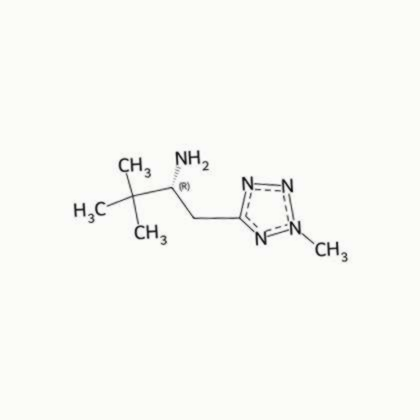 Cn1nnc(C[C@@H](N)C(C)(C)C)n1